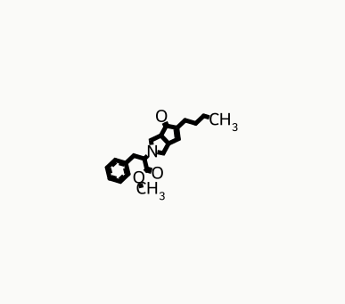 CCCCC1=CC2CN(C(Cc3ccccc3)C(=O)OC)CC2C1=O